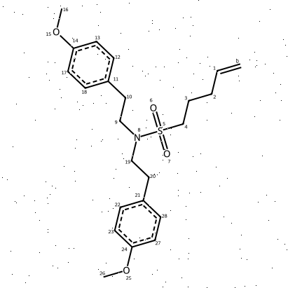 C=CCCCS(=O)(=O)N(CCc1ccc(OC)cc1)CCc1ccc(OC)cc1